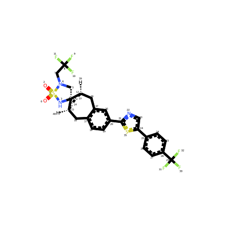 O=S1(=O)N[C@@]2(CN1CC(F)(F)F)[C@@H]1CC[C@H]2Cc2ccc(-c3ncc(-c4ccc(C(F)(F)F)cc4)s3)cc2C1